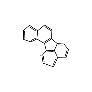 [c]1ccc2cccc3c2c1-c1c-3ccc2ccccc12